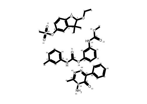 CCOC1Oc2ccc(OS(C)(=O)=O)cc2C1(C)C.COC(=O)Nc1cccc(OC(=O)Nc2cccc(C)c2)c1.Cc1nnc(-c2ccccc2)c(=O)n1N